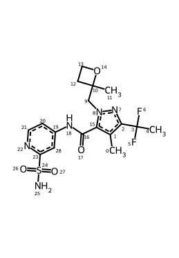 Cc1c(C(C)(F)F)nn(CC2(C)CCO2)c1C(=O)Nc1ccnc(S(N)(=O)=O)c1